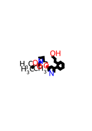 CC(C)(C)OC(=O)N1CC[C@H]1COc1cncc(-c2ccccc2CCCO)c1